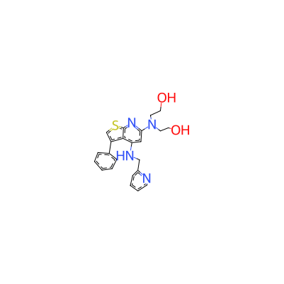 OCCN(CCO)c1cc(NCc2ccccn2)c2c(-c3ccccc3)csc2n1